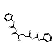 NC(CCC(=O)OC(=O)Oc1ccccc1)C(=O)OC(=O)Oc1ccccc1